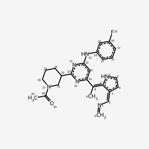 C=N/C=c1/cc[nH]/c1=C(/C)c1cc(Nc2cccc(F)c2)nc(C2CCCN(C(C)=O)C2)n1